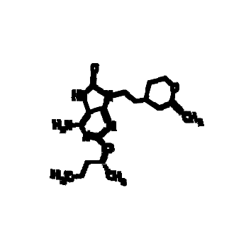 C=C1CC(CCn2c(=O)[nH]c3c(N)nc(O[C@H](C)CCC)nc32)CCO1